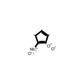 [Cl-].[Cl-].[Cl-].[Nb+3][C]1=CC=CC1